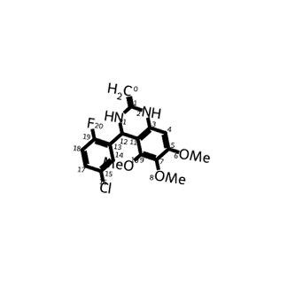 C=C1Nc2cc(OC)c(OC)c(OC)c2C(c2cc(Cl)ccc2F)N1